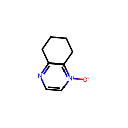 [O-][n+]1ccnc2c1CCCC2